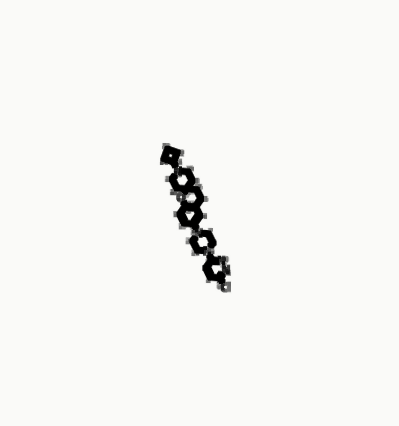 Clc1ccc(N2CCN(c3ccc4c(c3)CCC3(CCN(C5CCC5)CC3)O4)CC2)nn1